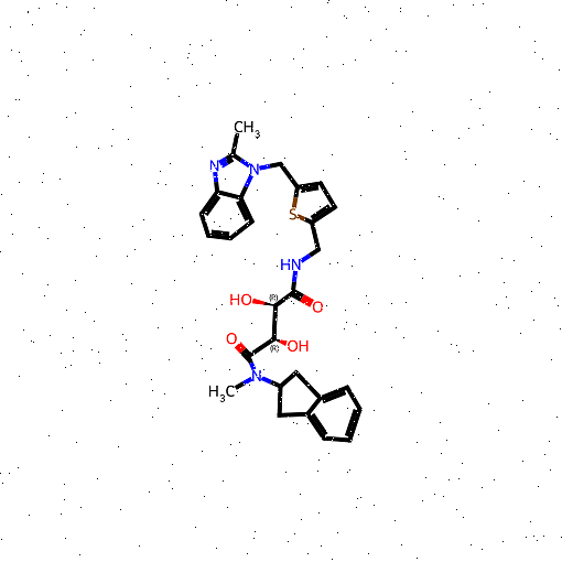 Cc1nc2ccccc2n1Cc1ccc(CNC(=O)[C@H](O)[C@@H](O)C(=O)N(C)C2Cc3ccccc3C2)s1